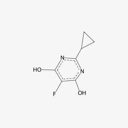 Oc1nc(C2CC2)nc(O)c1F